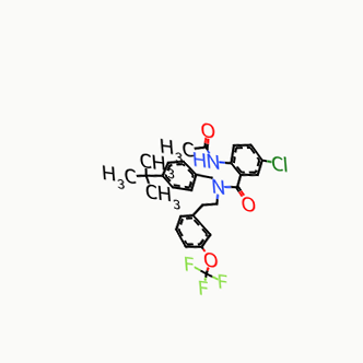 CC(=O)Nc1ccc(Cl)cc1C(=O)N(CCc1cccc(OC(F)(F)F)c1)Cc1ccc(C(C)(C)C)cc1